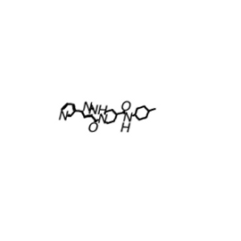 CC1CCC(NC(=O)C2CCN(C(=O)c3cc(-c4cccnc4)n[nH]3)CC2)CC1